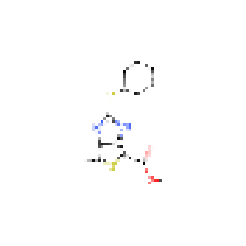 COC(=O)c1sc(C)c2nc(SC3CCCCC3)[nH]c12